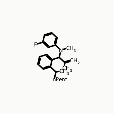 C=C(C)C(c1ccccc1C(C)CCCCC)N(C)c1cccc(F)c1